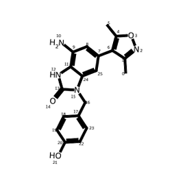 Cc1noc(C)c1-c1cc(N)c2[nH]c(=O)n(Cc3ccc(O)cc3)c2c1